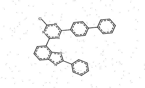 Clc1nc(-c2ccc(-c3ccccc3)cc2)nc(-c2cccc3nc(-c4ccccc4)oc23)n1